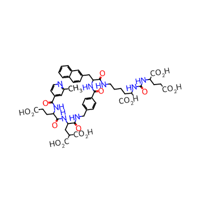 Cc1cc(C(=O)NC(CCC(=O)O)C(=O)NC(CC(C(=O)O)C(=O)O)C(=O)NCc2ccc(C(=O)NC(Cc3ccc4ccccc4c3)C(=O)NCCCCC(NC(=O)NC(CCC(=O)O)C(=O)O)C(=O)O)cc2)ccn1